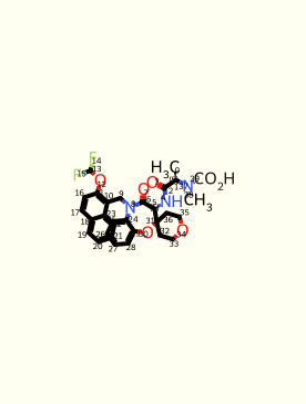 C[C@@H](C(=O)N[C@@H]1C(=O)N(Cc2c(OC(F)F)ccc3ccccc23)c2ccccc2OC12CCOCC2)N(C)C(=O)O